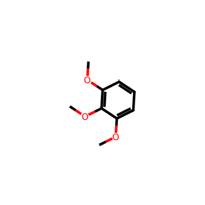 COc1[c]ccc(OC)c1OC